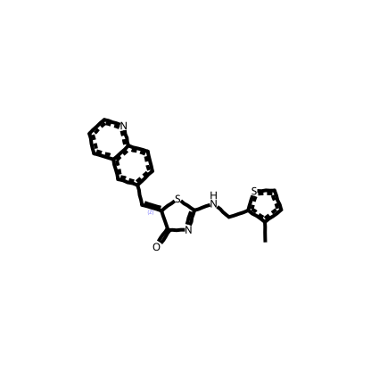 Cc1ccsc1CNC1=NC(=O)/C(=C/c2ccc3ncccc3c2)S1